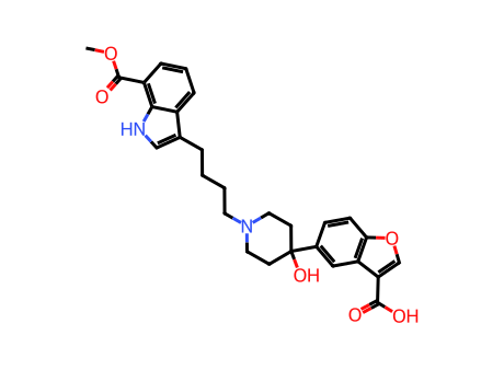 COC(=O)c1cccc2c(CCCCN3CCC(O)(c4ccc5occ(C(=O)O)c5c4)CC3)c[nH]c12